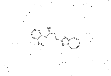 Cc1ccccc1SC(=N)SSc1nc2c(s1)C=CC=C=C2